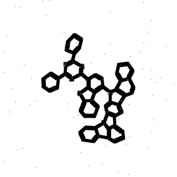 c1ccc(-c2nc(-c3ccccc3)nc(-c3ccc(-n4c5cc6c(cc5c5ccc7ccccc7c54)c4cccc5c7ccccc7n6c54)c4c3oc3ccccc34)n2)cc1